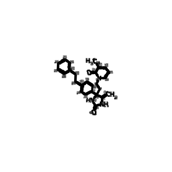 C=C1NC(=O)NC1(CCn1cccc(C)c1=O)c1ccc(CCc2ccccc2)cc1